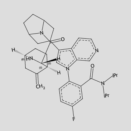 C=C1C[C@H]2CC[C@@H]1[C@@H](C(=O)N1C3CCC1CC(c1cn(-c4ccc(F)cc4C(=O)N(C(C)C)C(C)C)c4cnccc14)C3)N2